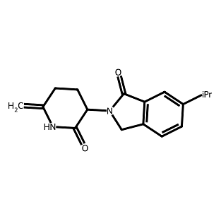 C=C1CCC(N2Cc3ccc(C(C)C)cc3C2=O)C(=O)N1